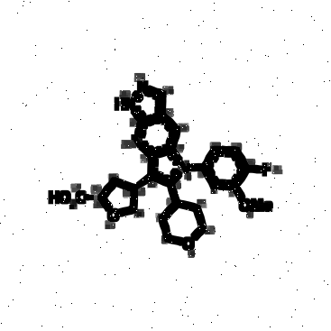 COc1cc(-n2c(C3CCOCC3)c([C@H]3CO[C@H](C(=O)O)C3)c3nc4[nH]ncc4cc32)ccc1F